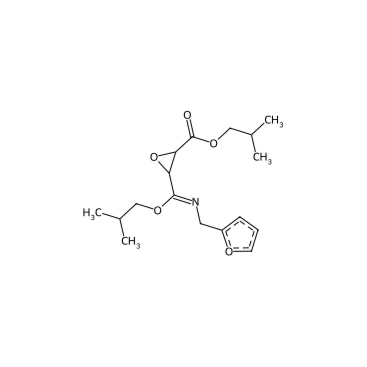 CC(C)COC(=O)C1OC1C(=NCc1ccco1)OCC(C)C